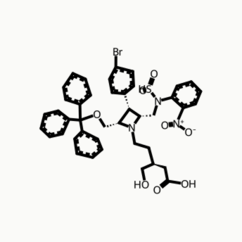 O=C(O)C[C@@H](CO)CCN1[C@H](COC(c2ccccc2)(c2ccccc2)c2ccccc2)[C@H](c2ccc(Br)cc2)[C@@H]1CN(c1ccccc1[N+](=O)[O-])[SH](=O)=O